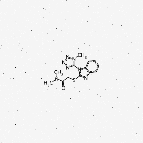 CN(C)C(=O)CSc1nc2ccccc2n1-c1nnnn1C